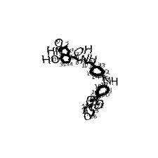 O=c1ccc2c([C@@H](O)CNCCc3ccc(Nc4ccc(S(=O)(=O)N5CCOCC5)cc4)cc3)ccc(O)c2[nH]1